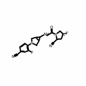 N#Cc1ccc(N2CC3C(C2)C3NCC(=O)N2C[C@@H](F)CC2C#N)c(F)c1